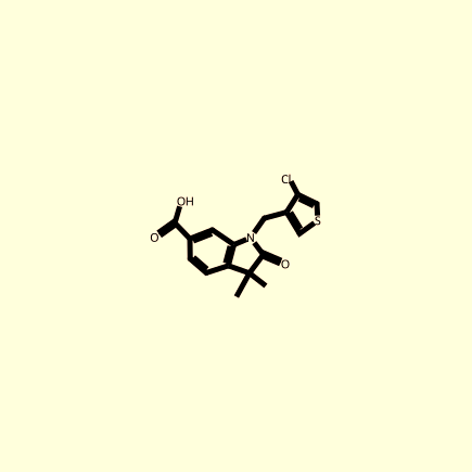 CC1(C)C(=O)N(Cc2cscc2Cl)c2cc(C(=O)O)ccc21